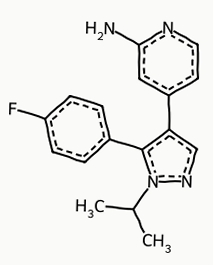 CC(C)n1ncc(-c2ccnc(N)c2)c1-c1ccc(F)cc1